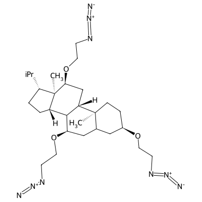 CC(C)[C@H]1CC[C@H]2C3[C@H](OCCN=[N+]=[N-])CC4C[C@H](OCCN=[N+]=[N-])CC[C@]4(C)[C@H]3C[C@H](OCCN=[N+]=[N-])[C@]12C